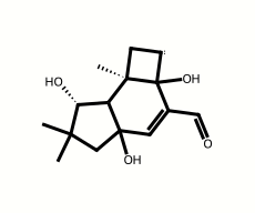 CC1(C)CC2(O)C=C(C=O)C3(O)[C]C[C@]3(C)C2[C@H]1O